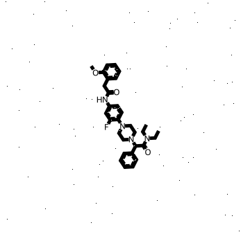 CCN(CC)C(=O)C(c1ccccc1)N1CCN(c2ccc(NC(=O)Cc3ccccc3OC)cc2F)CC1